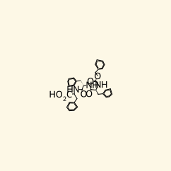 O=C(N[C@@H](Cc1ccccc1)C(=O)N[C@@H](Cc1ccccc1)C(=O)N[C@@H](Cc1ccccc1)C(=O)O)OCc1ccccc1